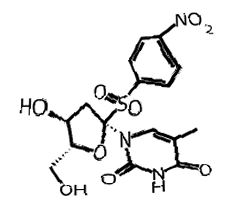 Cc1cn([C@@]2(S(=O)(=O)c3ccc([N+](=O)[O-])cc3)C[C@H](O)[C@@H](CO)O2)c(=O)[nH]c1=O